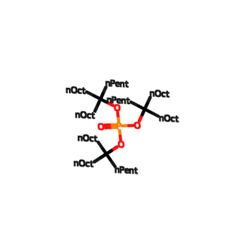 CCCCCCCCC(CCCCC)(CCCCCCCC)OP(=O)(OC(CCCCC)(CCCCCCCC)CCCCCCCC)OC(CCCCC)(CCCCCCCC)CCCCCCCC